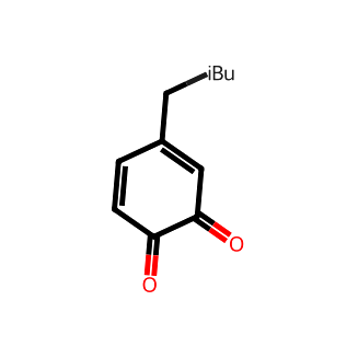 CCC(C)CC1=CC(=O)C(=O)C=C1